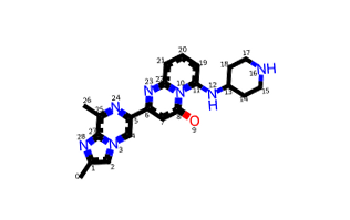 Cc1cn2cc(-c3cc(=O)n4c(NC5CCNCC5)cccc4n3)nc(C)c2n1